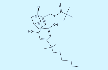 CCCCCCC(C)(C)C1=CC(O)C([C@@]2(C)C3CC=C(COC(=O)C(C)(C)C)[C@H]2C3)C(O)=C1